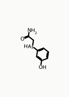 NC(=O)C[AsH]c1cccc(O)c1